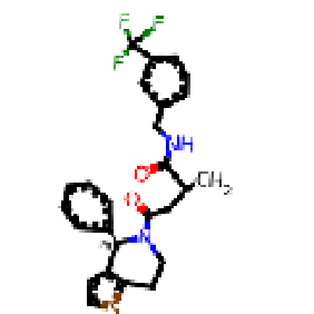 CC(CC(=O)N1CCc2sccc2[C@H]1c1ccccc1)C(=O)NCc1cccc(C(F)(F)F)c1